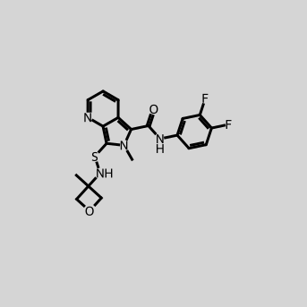 Cn1c(C(=O)Nc2ccc(F)c(F)c2)c2cccnc2c1SNC1(C)COC1